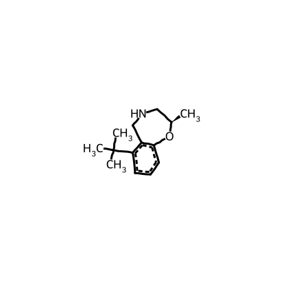 C[C@@H]1CNCc2c(cccc2C(C)(C)C)O1